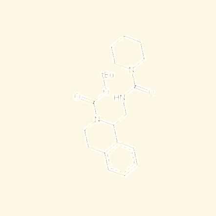 CC(C)(C)OC(=O)N1CCc2ccccc2C1CNC(=O)N1CCCCC1